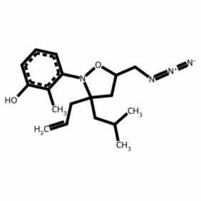 C=CCC1(CC(C)C)CC(CN=[N+]=[N-])ON1c1cccc(O)c1C